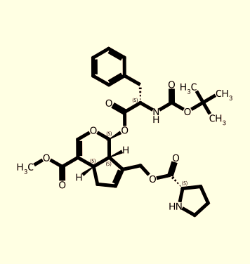 COC(=O)C1=CO[C@@H](OC(=O)[C@H](Cc2ccccc2)NC(=O)OC(C)(C)C)[C@@H]2C(COC(=O)[C@@H]3CCCN3)=CC[C@H]12